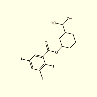 O=C(OC1CCCC(C(O)O)C1)c1cc(I)cc(I)c1I